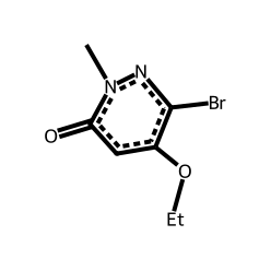 CCOc1cc(=O)n(C)nc1Br